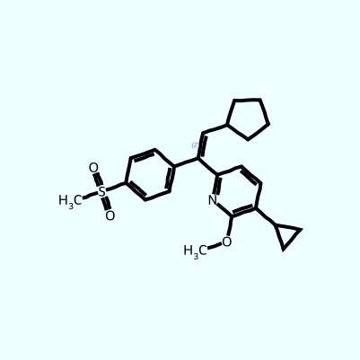 COc1nc(/C(=C\C2CCCC2)c2ccc(S(C)(=O)=O)cc2)ccc1C1CC1